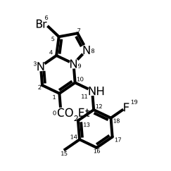 CCOC(=O)c1cnc2c(Br)cnn2c1Nc1cc(C)ccc1F